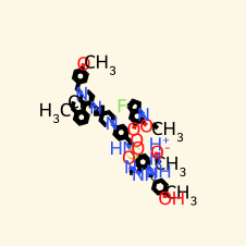 CCOc1nc2c(cc1Oc1cc(N3CCC4(CC3)CN(C3CCN(Cc5ccc(OC)cc5)CC3c3ccccc3C(C)C)C4)ccc1C(=O)NS(=O)(=O)c1cc([NH+](C)[O-])c(NC[C@H]3CC[C@](C)(O)CC3)c3[nH]cnc13)C(F)=CC2